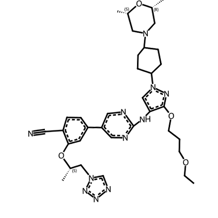 CCOCCCOc1nn(C2CCC(N3C[C@@H](C)O[C@@H](C)C3)CC2)cc1Nc1ncc(-c2ccc(C#N)c(O[C@@H](C)Cn3cnnn3)c2)cn1